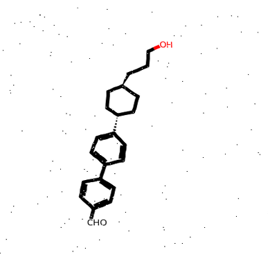 O=Cc1ccc(-c2ccc([C@H]3CC[C@H](CCCO)CC3)cc2)cc1